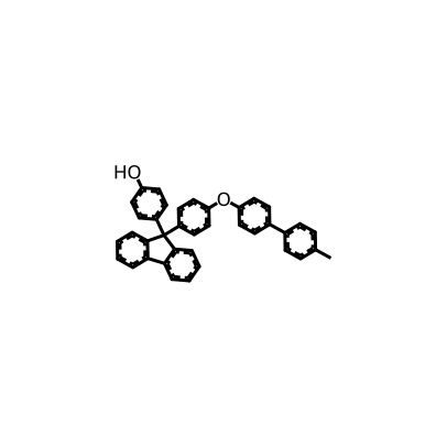 Cc1ccc(-c2ccc(Oc3ccc(C4(c5ccc(O)cc5)c5ccccc5-c5ccccc54)cc3)cc2)cc1